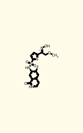 COC/C(=N\O)c1ccc(S(=O)(=O)Nc2cc3c(=O)[nH]ccc3cc2F)s1